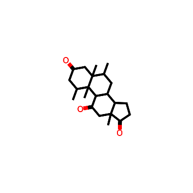 CC1CC2C3CCC(=O)C3(C)CC(=O)C2C2(C)C(C)CC(=O)CC12C